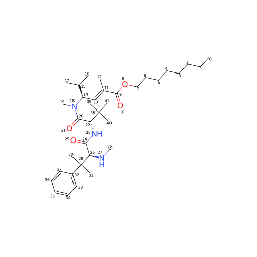 CCCCCCCCOC(=O)/C(C)=C/[C@H](C(C)C)N(C)C(=O)[C@@H](NC(=O)[C@@H](NC)C(C)(C)c1ccccc1)C(C)(C)C